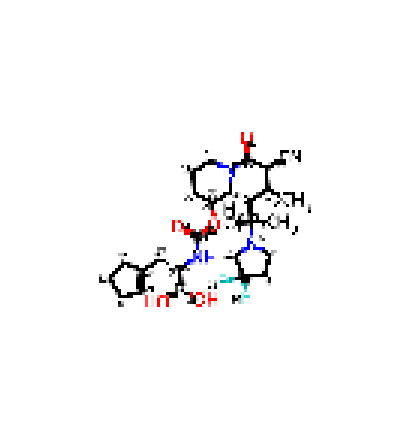 CC(CC(C)(C)N1CCC(F)(F)C1)C(C#N)C(=O)N1CCC[C@H](OC(=O)N[C@@H](CC2=CCCC2)B(O)O)C1